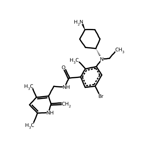 C=C1NC(C)=CC(C)=C1CNC(=O)c1cc(Br)cc(N(CC)[C@H]2CC[C@H](N)CC2)c1C